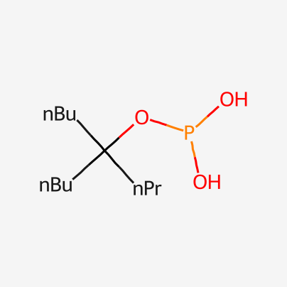 CCCCC(CCC)(CCCC)OP(O)O